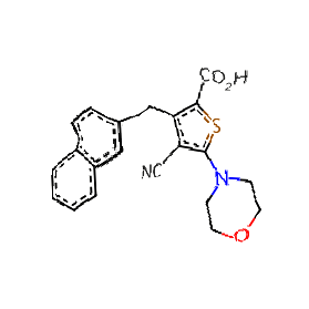 N#Cc1c(N2CCOCC2)sc(C(=O)O)c1Cc1ccc2ccccc2c1